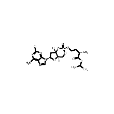 CC(C)OC(=O)[C@@H](C)CCO[P@@]1(=O)OC[C@H]2O[C@@H](n3cnc4c(N)nc(Cl)nc43)C[C@@H]2O1